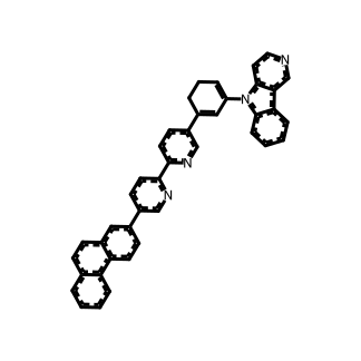 C1=C(c2ccc(-c3ccc(-c4ccc5c(ccc6ccccc65)c4)cn3)nc2)CCC=C1n1c2ccccc2c2cnccc21